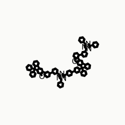 c1ccc(-c2nc(-c3ccc(-c4ccc(C5(c6ccccc6)c6ccccc6-c6cc7c(cc65)oc5cccc(-c6cccc(-c8nc(-c9ccccc9)nc(-c9ccccc9)n8)c6)c57)cc4)cc3)nc(-c3cccc(-c4ccc5oc6cc7c(cc6c5c4)-c4ccccc4C7(c4ccccc4)c4ccccc4)c3)n2)cc1